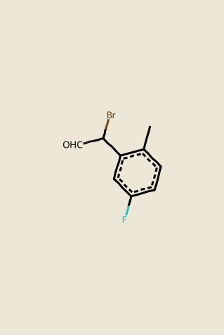 Cc1ccc(F)cc1C(Br)C=O